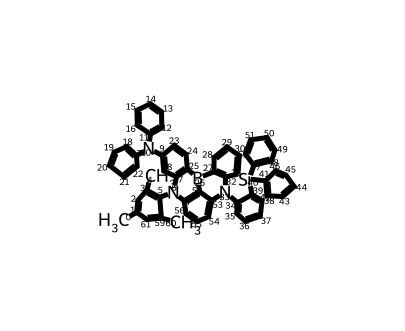 Cc1cc(C)c(N2c3cc(N(c4ccccc4)c4ccccc4)ccc3B3c4cccc5c4N(c4ccccc4[Si]5(c4ccccc4)c4ccccc4)c4cccc2c43)c(C)c1